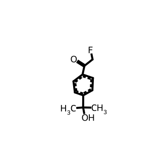 CC(C)(O)c1ccc(C(=O)CF)cc1